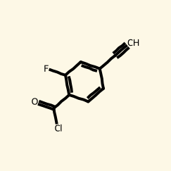 C#Cc1ccc(C(=O)Cl)c(F)c1